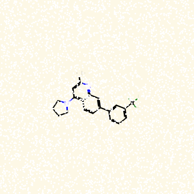 Cc1cc(N2CCCC2)c2ccc(-c3cccc(C(F)(F)F)c3)cc2n1